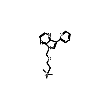 C[Si](C)(C)CCOCn1cc(-c2ccccn2)c2nccnc21